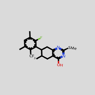 CSc1nc(O)c2c(n1)CC(c1c(F)c(C)cc(C)c1C(F)(F)F)C(C)C2